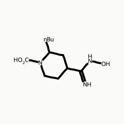 CCCCC1CC(C(=N)NO)CCN1C(=O)O